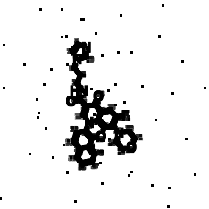 O=C(NCCCn1ccnc1)c1cn2c3c(c(N4CCOCC4)c(F)cc3c1=O)Oc1c-2ccc2ccccc12